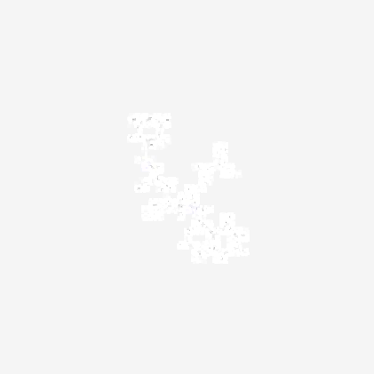 CCC(=O)OCS/C(=N/c1cccc2cccnc12)NC(C)NC(=O)/C=C/c1ccccc1